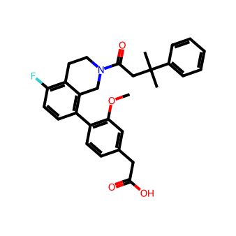 COc1cc(CC(=O)O)ccc1-c1ccc(F)c2c1CN(C(=O)CC(C)(C)c1ccccc1)CC2